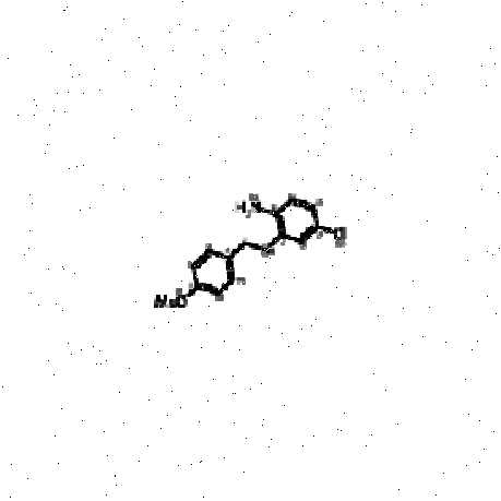 COc1ccc(CSc2cc(Cl)ccc2N)cc1